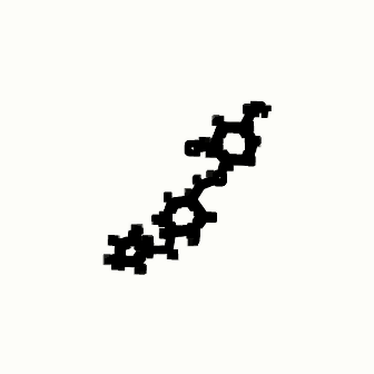 CC(C)c1ccc(OCc2cnc(Cn3cncn3)nc2)c(Cl)c1